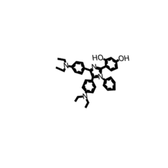 CCN(CC)c1ccc(-c2nc(-c3ccc(O)cc3O)n(-c3ccccc3)c2-c2ccc(N(CC)CC)cc2)cc1